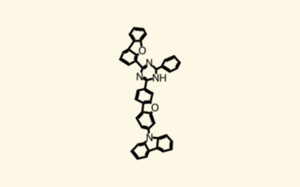 c1ccc(C2N=C(c3cccc4c3oc3ccccc34)N=C(c3ccc4c(c3)oc3cc(-n5c6ccccc6c6ccccc65)ccc34)N2)cc1